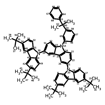 CC(C)(C)c1ccc2c(c1)c1cc(C(C)(C)C)ccc1n2-c1ccc2c(c1)c1cc(-n3c4ccc(C(C)(C)C)cc4c4cc(C(C)(C)C)ccc43)ccc1n2-c1cccc(C(C)(C)c2ccccc2)c1